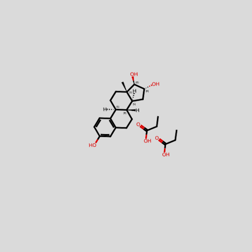 CCC(=O)O.CCC(=O)O.C[C@]12CC[C@@H]3c4ccc(O)cc4CC[C@H]3[C@@H]1C[C@@H](O)[C@@H]2O